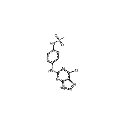 CS(=O)(=O)Nc1ccc(Nc2nc(Cl)c3nc[nH]c3n2)cc1